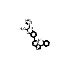 CC(Cn1cnnn1)Oc1cc(-c2ccc3ncc(-c4ccccc4C#N)n3n2)ccc1F